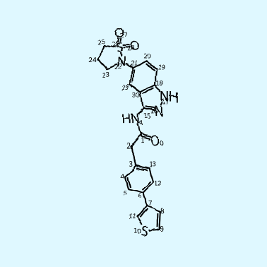 O=C(Cc1ccc(-c2ccsc2)cc1)Nc1n[nH]c2ccc(N3CCCS3(=O)=O)cc12